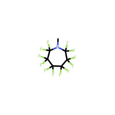 CN1C(F)(F)C(F)(F)C(F)(F)C(F)(F)C(F)(F)C1(F)F